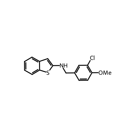 COc1ccc(CNc2cc3ccccc3s2)cc1Cl